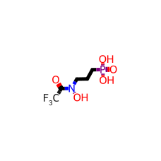 O=C(N(O)CCCP(=O)(O)O)C(F)(F)F